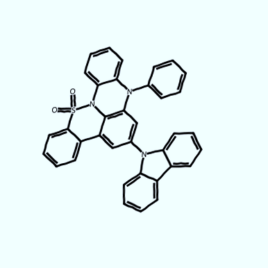 O=S1(=O)c2ccccc2-c2cc(-n3c4ccccc4c4ccccc43)cc3c2N1c1ccccc1N3c1ccccc1